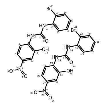 O=C(Nc1ccc([N+](=O)[O-])cc1O)Nc1ccccc1Br.O=C(Nc1ccc([N+](=O)[O-])cc1O)Nc1ccccc1Br